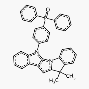 CC1(C)c2ccccc2-n2c1cc1c3ccccc3n(-c3ccc(P(=O)(c4ccccc4)c4ccccc4)cc3)c12